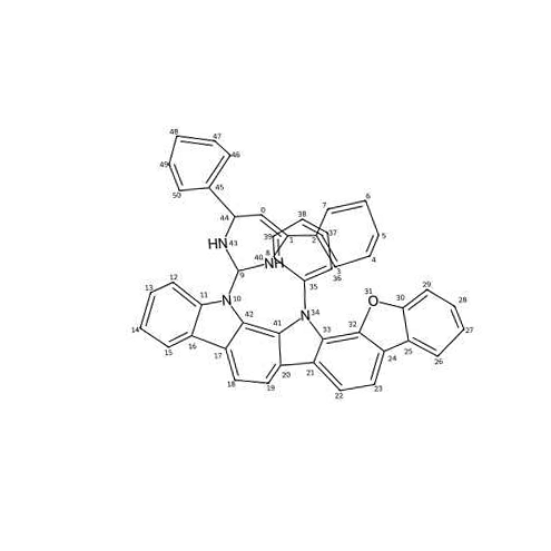 C1=C(c2ccccc2)NC(n2c3ccccc3c3ccc4c5ccc6c7ccccc7oc6c5n(-c5ccccc5)c4c32)NC1c1ccccc1